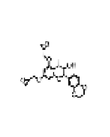 CC1c2c(OCC3CO3)cc(OCC3CO3)cc2OC(c2ccc3c(c2)OCCO3)C1O